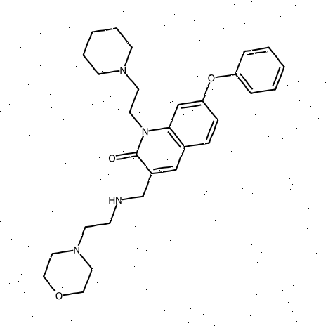 O=c1c(CNCCN2CCOCC2)cc2ccc(Oc3ccccc3)cc2n1CCN1CCCCC1